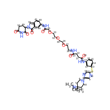 CN(C)C1(C)CCN(c2cnc(Sc3cccc(NC(=O)CCC(=O)NCCOCCOCCOCC(=O)Nc4ccc5c(c4)C(=O)N(C4CCC(=O)NC4=O)C5)c3)cn2)CC1